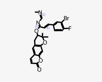 C\N=C/N=C(\C=C\c1ccc(F)c(Br)c1)OC1Cc2cc3ccc(=O)oc3cc2OC1(C)C